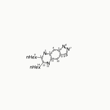 CCCCCCc1nc2cc3nnsc3cc2nc1CCCCCC